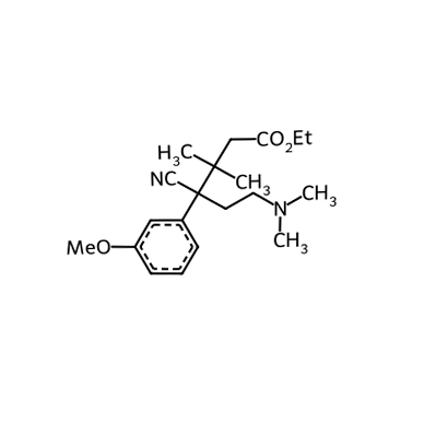 CCOC(=O)CC(C)(C)C(C#N)(CCN(C)C)c1cccc(OC)c1